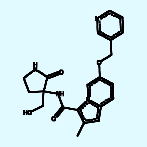 Cc1cc2ccc(OCc3cccnc3)cn2c1C(=O)NC1(CO)CCNC1=O